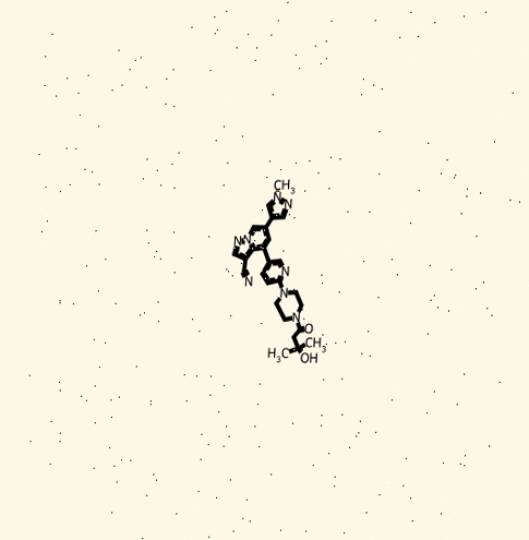 Cn1cc(-c2cc(-c3ccc(N4CCN(C(=O)CC(C)(C)O)CC4)nc3)c3c(C#N)cnn3c2)cn1